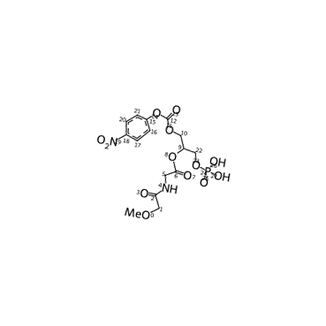 COCC(=O)NCC(=O)OC(COC(=O)Oc1ccc([N+](=O)[O-])cc1)COP(=O)(O)O